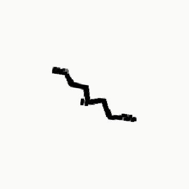 COCCPCCOC